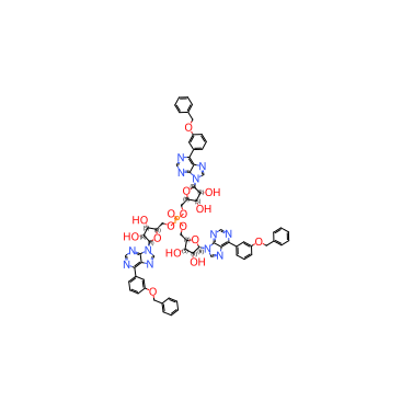 O=P(OC[C@H]1O[C@@H](n2cnc3c(-c4cccc(OCc5ccccc5)c4)ncnc32)[C@H](O)[C@@H]1O)(OC[C@H]1O[C@@H](n2cnc3c(-c4cccc(OCc5ccccc5)c4)ncnc32)[C@H](O)[C@@H]1O)OC[C@H]1O[C@@H](n2cnc3c(-c4cccc(OCc5ccccc5)c4)ncnc32)[C@H](O)[C@@H]1O